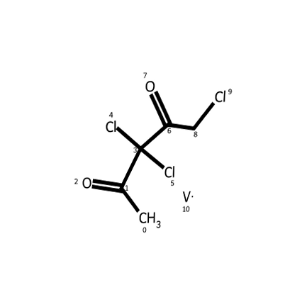 CC(=O)C(Cl)(Cl)C(=O)CCl.[V]